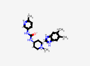 Cc1ccc(NC(=O)N[C@@H]2CCN(C)[C@@H](c3nc4cc(C)c(C)cc4[nH]3)C2)cn1